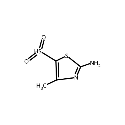 Cc1nc(N)sc1[SH](=O)=O